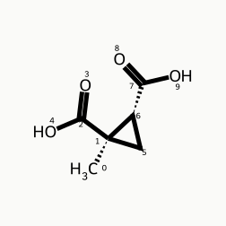 C[C@@]1(C(=O)O)C[C@H]1C(=O)O